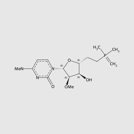 C=P(C)(C)CC[C@H]1O[C@@H](n2ccc(NC)nc2=O)[C@H](OC)[C@@H]1O